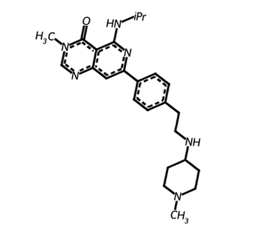 CC(C)Nc1nc(-c2ccc(CCNC3CCN(C)CC3)cc2)cc2ncn(C)c(=O)c12